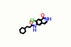 O=C(CCC1CCCCC1)Nc1cc2cc[nH]c(=O)c2cc1Cl